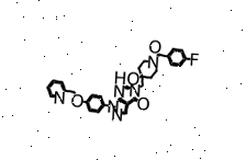 O=C(c1ccc(F)cc1)N1CCC(O)(Cn2cnc3c(cnn3-c3ccc(OCc4ccccn4)cc3)c2=O)CC1